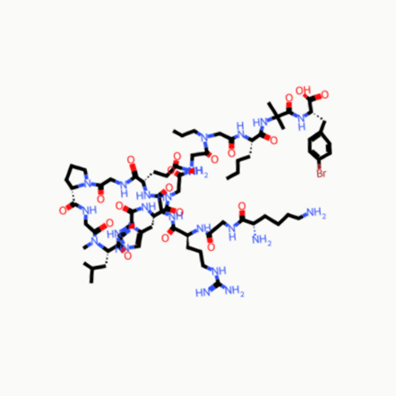 CCCC[C@H](NC(=O)CN(CCC)C(=O)CNC(=O)CNC(=O)[C@H](Cc1c[nH]cn1)NC(=O)CNC(=O)[C@H](CC(C)C)N(C)C(=O)CNC(=O)[C@@H]1CCCN1C(=O)CNC(=O)[C@H](CCC(N)=O)NC(=O)CNC(=O)[C@H](CCCNC(=N)N)NC(=O)CNC(=O)[C@@H](N)CCCCN)C(=O)NC(C)(C)C(=O)N[C@@H](Cc1ccc(Br)cc1)C(=O)O